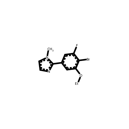 CCOc1cc(-c2nccn2C)cc(F)c1Br